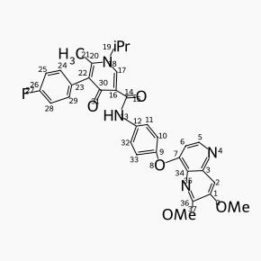 COc1cc2nccc(Oc3ccc(NC(=O)c4cn(C(C)C)c(C)c(-c5ccc(F)cc5)c4=O)cc3)c2nc1OC